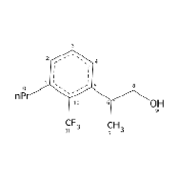 CCCc1cccc([C](C)CO)c1C(F)(F)F